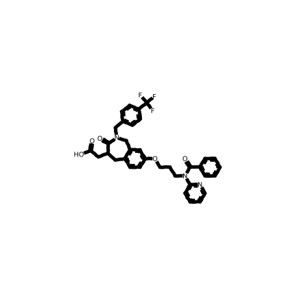 O=C(O)CC1Cc2ccc(OCCCN(C(=O)c3ccccc3)c3ccccn3)cc2CN(Cc2ccc(C(F)(F)F)cc2)C1=O